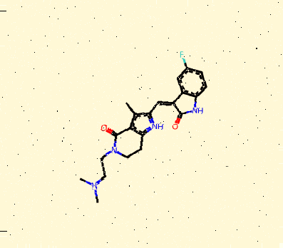 Cc1c(C=C2C(=O)Nc3ccc(F)cc32)[nH]c2c1C(=O)N(CCN(C)C)CC2